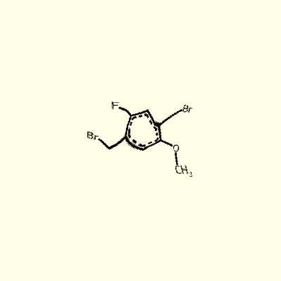 COc1cc(CBr)c(F)cc1Br